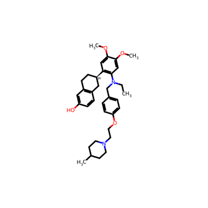 CCN(Cc1ccc(OCCN2CCC(C)CC2)cc1)c1cc(OC)c(OC)cc1[C@@H]1CCc2cc(O)ccc2C1